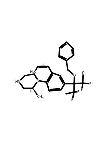 C/C=C\c1cc(C(OCc2ccccc2)(C(F)(F)F)C(F)(F)F)ccc1N1CCNC[C@@H]1C